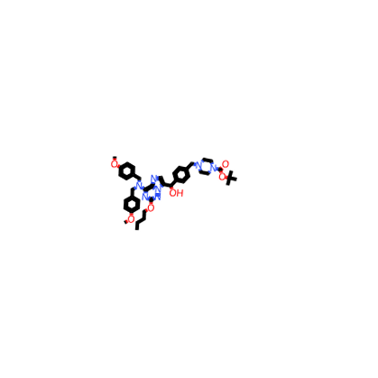 CCCCOc1nc(N(Cc2ccc(OC)cc2)Cc2ccc(OC)cc2)c2ncc(C(O)c3ccc(CN4CCN(C(=O)OC(C)(C)C)CC4)cc3)n2n1